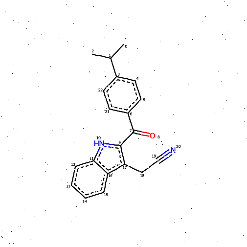 CC(C)c1ccc(C(=O)c2[nH]c3ccccc3c2CC#N)cc1